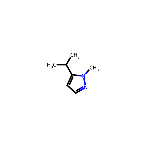 CC(C)c1ccnn1C